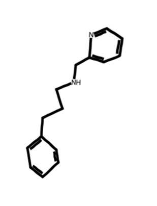 c1ccc(CCCNCc2ccccn2)cc1